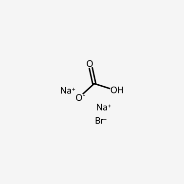 O=C([O-])O.[Br-].[Na+].[Na+]